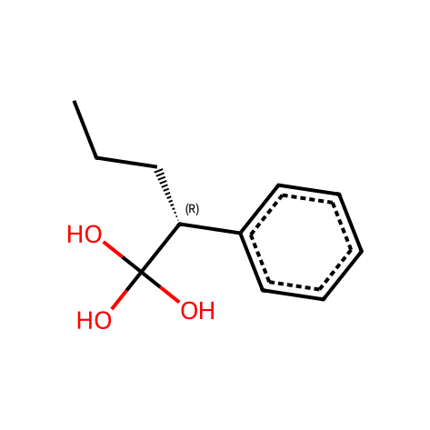 CCC[C@H](c1ccccc1)C(O)(O)O